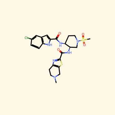 CN1CCc2nc(C(=O)N[C@@H]3CN(S(C)(=O)=O)CC[C@@H]3NC(=O)c3cc4cc(Cl)ccc4[nH]3)sc2C1